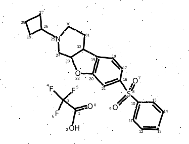 O=C(O)C(F)(F)F.O=S(=O)(c1ccccc1)c1ccc2c(c1)OC1CN(C3CCC3)CCC21